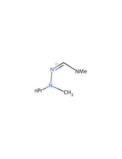 CCCN(C)/N=C\NC